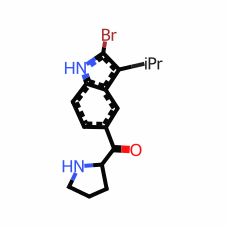 CC(C)c1c(Br)[nH]c2ccc(C(=O)C3CCCN3)cc12